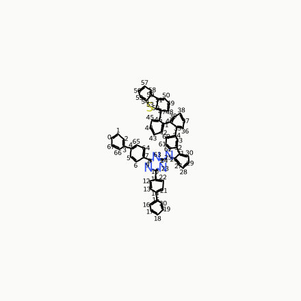 c1ccc(-c2ccc(-c3nc(-c4ccc(-c5ccccc5)cc4)nc(-n4c5ccccc5c5cc(-c6ccccc6-c6ccccc6-c6cccc7c6sc6ccccc67)ccc54)n3)cc2)cc1